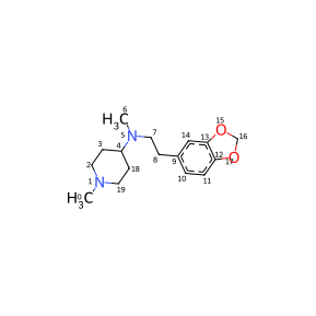 CN1CCC(N(C)CCc2ccc3c(c2)OCO3)CC1